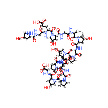 C[C@H](NC(=O)CNC(=O)[C@@H]1C[C@@H](O)CN1C(=O)[C@H](CCC(=O)O)NC(=O)CNC(=O)[C@@H]1C[C@@H](O)CN1)C(=O)N1C[C@H](O)C[C@H]1C(=O)NCC(=O)N1CCC[C@H]1C(=O)N1C[C@H](O)C[C@H]1C(=O)NCC(=O)N1CCC[C@H]1C(=O)N1C[C@H](O)C[C@H]1C(=O)NCC(=O)N1CCC[C@H]1C(=O)N1C[C@H](O)C[C@H]1C(=O)NCC(=O)O